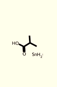 CC(C)C(=O)O.[SnH2]